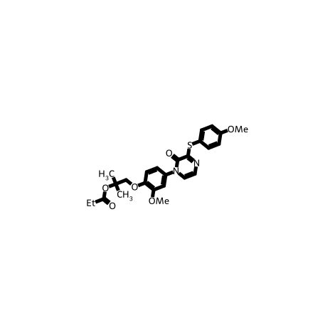 CCC(=O)OC(C)(C)COc1ccc(-n2ccnc(Sc3ccc(OC)cc3)c2=O)cc1OC